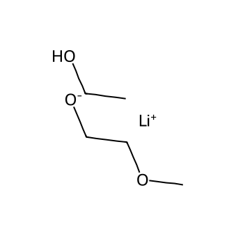 CCO.COCC[O-].[Li+]